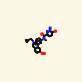 CN(C(=O)c1ccc(=O)[nH]n1)C1CCC23CCC1C21CCN(CC2CC2)C3Cc2ccc(O)cc21